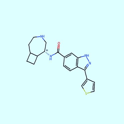 O=C(N[C@H]1CNCCC2CCC21)c1ccc2c(-c3ccsc3)n[nH]c2c1